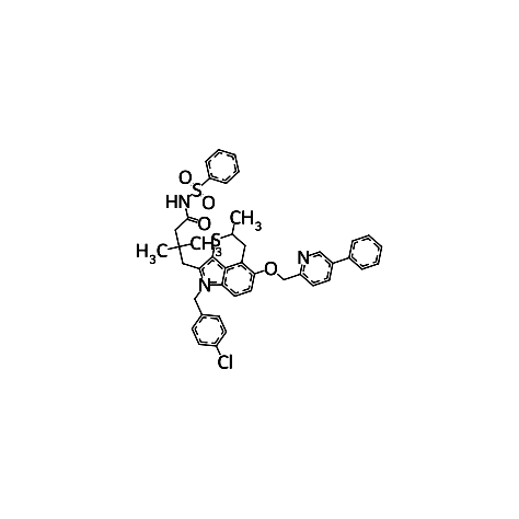 CC1Cc2c(OCc3ccc(-c4ccccc4)cn3)ccc3c2c(c(CC(C)(C)CC(=O)NS(=O)(=O)c2ccccc2)n3Cc2ccc(Cl)cc2)S1